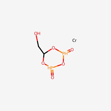 O=[PH]1OC(CO)O[PH](=O)O1.[Cr]